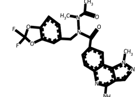 CC(=O)N(C)N(Cc1ccc2c(c1)OC(F)(F)O2)C(=O)c1ccc2nc(N)c3cnn(C)c3c2c1